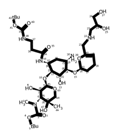 CN(C(=O)OC(C)(C)C)[C@@H]1[C@@H](O)[C@@H](O[C@@H]2[C@@H](O)[C@H](O[C@@H]3CCC=C(CNCC(O)CO)O3)[C@@H](N)C[C@H]2NC(=O)CCNC(=O)OC(C)(C)C)OC[C@]1(C)O